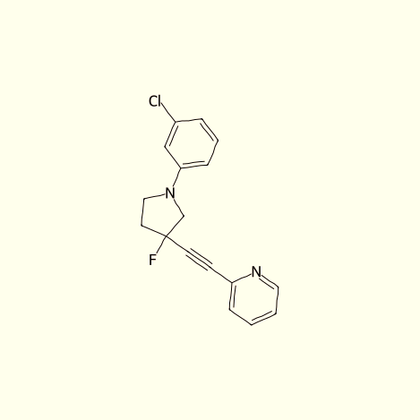 FC1(C#Cc2ccccn2)CCN(c2cccc(Cl)c2)C1